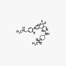 CNCc1ccc(-n2cnc(-c3nc(NC4CCN(S(C)(=O)=O)CC4)ncc3C(F)(F)F)c2)c(F)c1